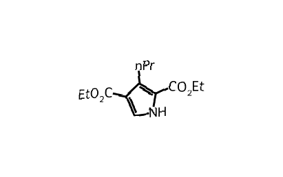 CCCc1c(C(=O)OCC)c[nH]c1C(=O)OCC